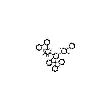 Cc1nc(-c2ccccc2-c2ccccc2)nc(-c2cc(-c3cc(C)c(-c4ccccc4)cn3)cc3c2-c2ccccc2C32c3ccccc3-c3ccccc32)n1